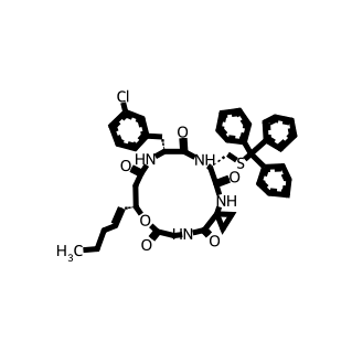 CCC/C=C/[C@@H]1CC(=O)N[C@H](Cc2cccc(Cl)c2)C(=O)N[C@H](CSC(c2ccccc2)(c2ccccc2)c2ccccc2)C(=O)NC2(CC2)C(=O)NCC(=O)O1